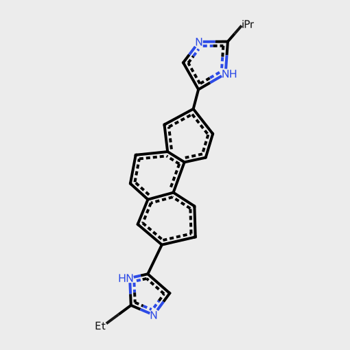 CCc1ncc(-c2ccc3c(ccc4cc(-c5cnc(C(C)C)[nH]5)ccc43)c2)[nH]1